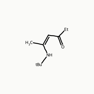 CCC(=O)C=C(C)NC(C)(C)C